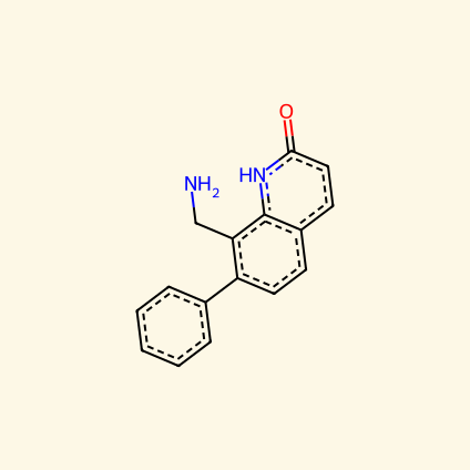 NCc1c(-c2ccccc2)ccc2ccc(=O)[nH]c12